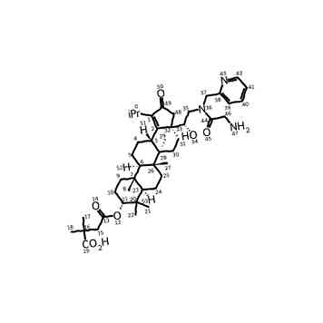 CC(C)C1=C2[C@H]3CC[C@@H]4[C@@]5(C)CC[C@@H](OC(=O)CC(C)(C)C(=O)O)C(C)(C)[C@@H]5CC[C@@]4(C)[C@]3(C)CC[C@@]2([C@@H](O)CN(Cc2ccccn2)C(=O)CN)CC1=O